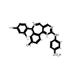 O=C(O)c1ccc(Nc2ncc3c(n2)-c2ccc(Cl)cc2C(c2ccc(F)cc2F)N=C3)cc1